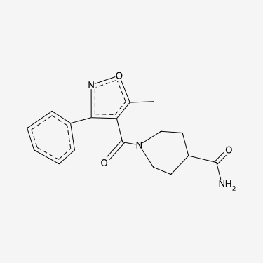 Cc1onc(-c2ccccc2)c1C(=O)N1CCC(C(N)=O)CC1